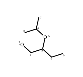 CCC(C[O])OC(C)C